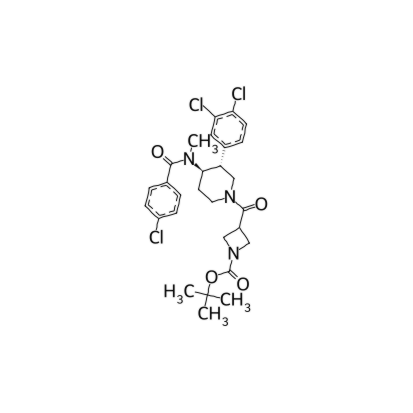 CN(C(=O)c1ccc(Cl)cc1)[C@@H]1CCN(C(=O)C2CN(C(=O)OC(C)(C)C)C2)C[C@H]1c1ccc(Cl)c(Cl)c1